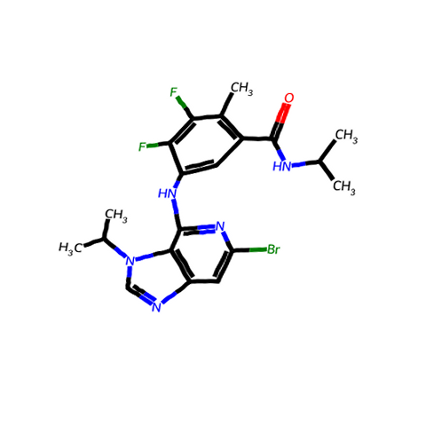 Cc1c(C(=O)NC(C)C)cc(Nc2nc(Br)cc3ncn(C(C)C)c23)c(F)c1F